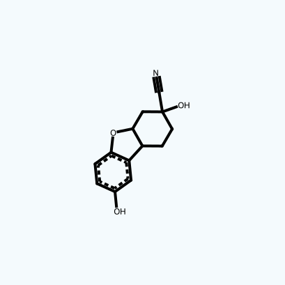 N#CC1(O)CCC2c3cc(O)ccc3OC2C1